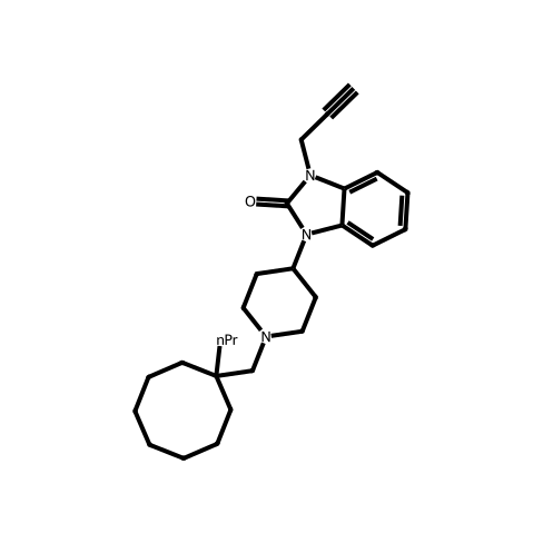 C#CCn1c(=O)n(C2CCN(CC3(CCC)CCCCCCC3)CC2)c2ccccc21